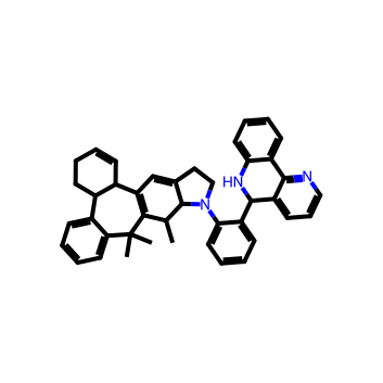 CC1C2=C(C=C3CCN(c4ccccc4C4Nc5ccccc5-c5ncccc54)C31)C1C=CCCC1c1ccccc1C2(C)C